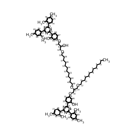 CCCCCCCCCCCCCOCC(COc1ccc(-c2nc(C3=CC=C(C)CC3C)nc(-c3ccc(C)cc3C)n2)c(O)c1)OCCCCCCCCCCCCOCC(O)COc1ccc(-c2nc(-c3ccc(C)cc3C)nc(-c3ccc(C)cc3C)n2)c(O)c1